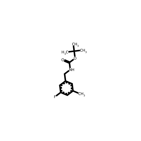 Cc1cc(F)cc(CNC(=O)OC(C)(C)C)c1